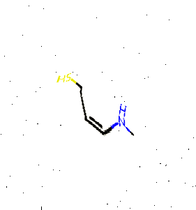 CN/C=C\CS